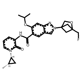 CC(C)Oc1cc2nn(C34COC(CF)(C3)C4)cc2cc1C(=O)Nc1cccn([C@@H]2C[C@@H]2C)c1=O